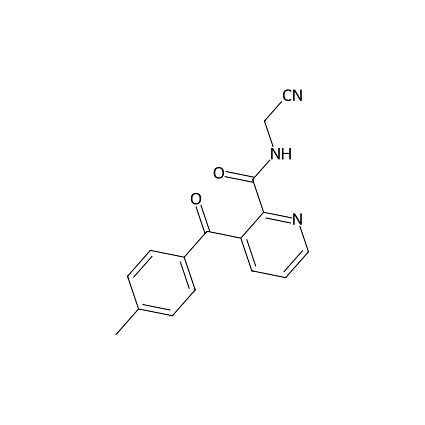 Cc1ccc(C(=O)c2cccnc2C(=O)NCC#N)cc1